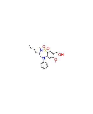 CCCCC1CN(c2ccccc2)c2cc(OC)c(CO)cc2S(=O)(=O)N1C